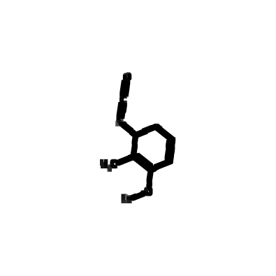 CCOC1=C(C)C(N=C=O)CC=C1